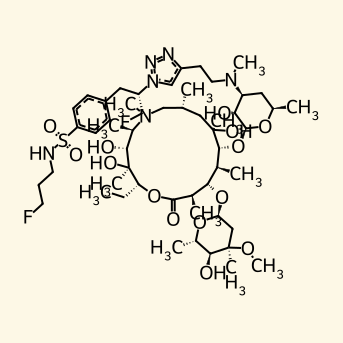 CC[C@H]1OC(=O)[C@H](C)[C@@H](O[C@H]2C[C@@](C)(OC)[C@@H](O)[C@H](C)O2)[C@H](C)[C@@H](O[C@@H]2O[C@H](C)C[C@H](N(C)CCc3cn([C@H](CF)Cc4ccc(S(=O)(=O)NCCCF)cc4)nn3)[C@H]2O)[C@](C)(O)C[C@@H](C)CN(C)[C@H](C)[C@@H](O)[C@]1(C)O